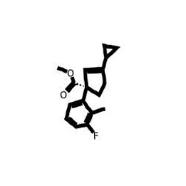 COC(=O)[C@]1(c2cccc(F)c2C)C=C(C2CC2)CC1